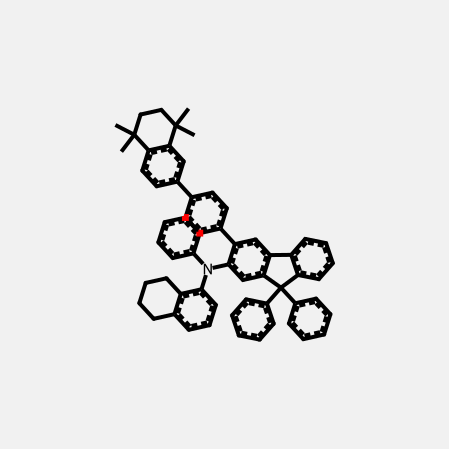 CC1(C)CCC(C)(C)c2cc(-c3ccc(-c4cc5c(cc4N(c4ccccc4)c4cccc6c4CCCC6)C(c4ccccc4)(c4ccccc4)c4ccccc4-5)cc3)ccc21